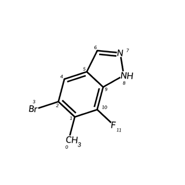 Cc1c(Br)cc2cn[nH]c2c1F